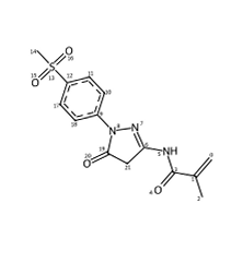 C=C(C)C(=O)NC1=NN(c2ccc(S(C)(=O)=O)cc2)C(=O)C1